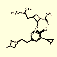 CC(C)CC1SC(C(N)=O)C1n1nc(CCN2CC(F)C2)cc(C2CC2)c1=O